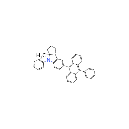 CC12CCCC1c1cc(-c3c4ccccc4c(-c4ccccc4)c4ccccc34)ccc1N2c1ccccc1